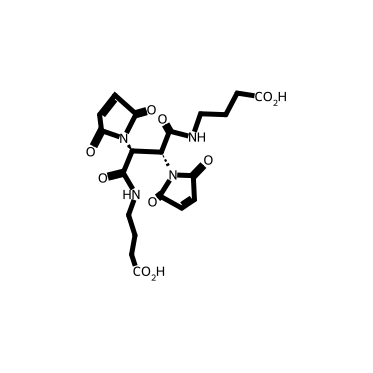 O=C(O)CCCNC(=O)[C@@H]([C@H](C(=O)NCCCC(=O)O)N1C(=O)C=CC1=O)N1C(=O)C=CC1=O